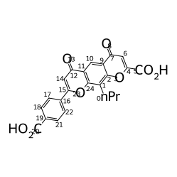 CCCc1c2oc(C(=O)O)cc(=O)c2cc2c(=O)cc(-c3ccc(C(=O)O)cc3)oc12